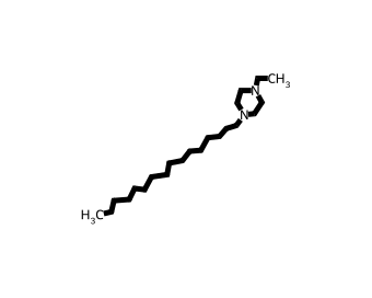 CCCCCCCCCCCCCCCCN1CCN(CC)CC1